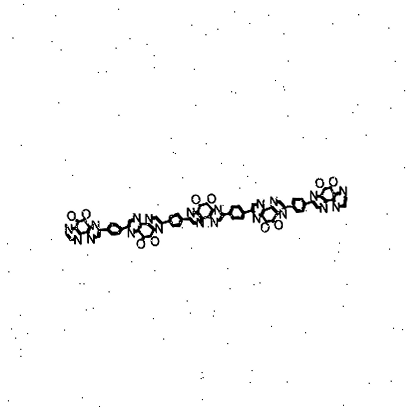 O=C1C(=O)c2nc(-c3ccc(-c4cnc5c(n4)C(=O)C(=O)c4nc(-c6ccc(-c7cnc8c(n7)C(=O)C(=O)c7nc(-c9ccc(-c%10cnc%11c(n%10)C(=O)C(=O)c%10nc(-c%12ccc(-c%13cnc%14c(n%13)C(=O)C(=O)c%13nccnc%13-%14)cc%12)cnc%10-%11)cc9)cnc7-8)cc6)cnc4-5)cc3)cnc2-c2nccnc21